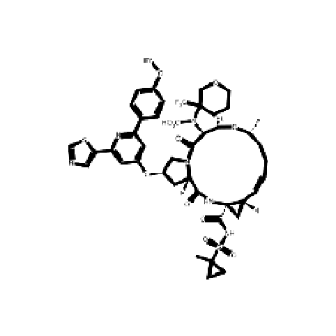 CC[C@@H]1O[C@H](C)CCC=C[C@@H]2C[C@@]2(C(=O)NS(=O)(=O)C2(C)CC2)NC(=O)[C@@H]2C[C@@H](Oc3cc(-c4ccc(OC(C)C)cc4)nc(-c4cncs4)c3)CN2C(=O)[C@H]1N(C(=O)O)C1(C(F)(F)F)CCCOC1